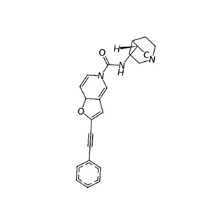 O=C(N[C@H]1CN2CCC1CC2)N1C=CC2OC(C#Cc3ccccc3)=CC2=C1